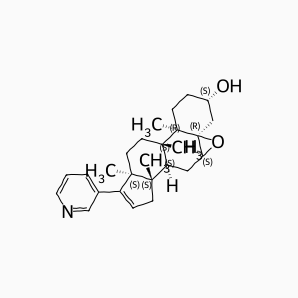 C[C@]12CC[C@H](O)C[C@@]13O[C@H]3C[C@@H]1[C@]2(C)CC[C@]2(C)C(c3cccnc3)=CC[C@@]12C